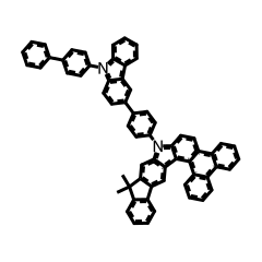 CC1(C)c2ccccc2-c2cc3c4c5c6ccccc6c6ccccc6c5ccc4n(-c4ccc(-c5ccc6c(c5)c5ccccc5n6-c5ccc(-c6ccccc6)cc5)cc4)c3cc21